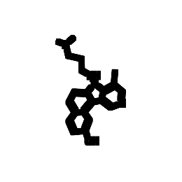 Cc1cncc2c3c4cc(O)ccc4ccc3n(NCCCN(C)C)c12